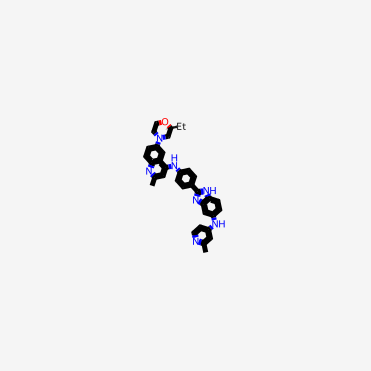 CC[C@H]1CN(c2ccc3nc(C)cc(Nc4ccc(-c5nc6cc(Nc7ccnc(C)c7)ccc6[nH]5)cc4)c3c2)CCO1